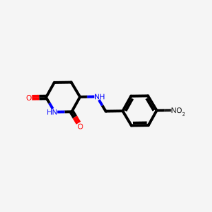 O=C1CCC(NCc2ccc([N+](=O)[O-])cc2)C(=O)N1